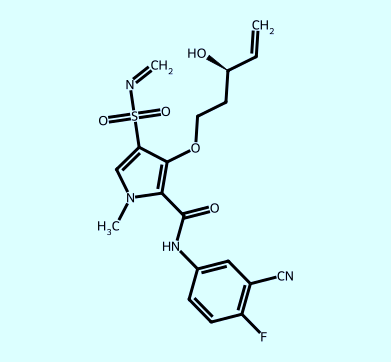 C=C[C@H](O)CCOc1c(S(=O)(=O)N=C)cn(C)c1C(=O)Nc1ccc(F)c(C#N)c1